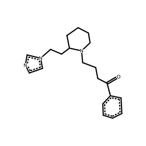 O=C(CCCN1CCCCC1CCn1ccnc1)c1ccccc1